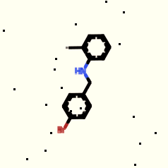 [CH2]c1ccccc1NCc1ccc(Br)cc1